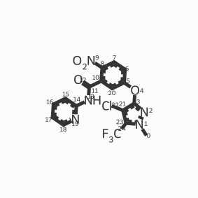 Cn1nc(Oc2ccc([N+](=O)[O-])c(C(=O)Nc3ccccn3)c2)c(Cl)c1C(F)(F)F